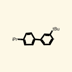 CC(C)c1ccc(-c2cc[c]c(C(C)(C)C)c2)cc1